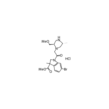 COC[C@H]1CN[C@H](C)CN1CC(=O)N1CC(C)(C(=O)OC)c2ccc(Br)cc21.Cl